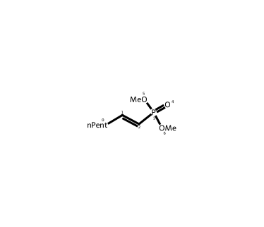 CCCCCC=CP(=O)(OC)OC